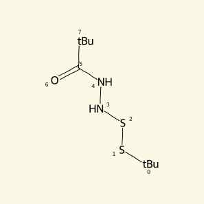 CC(C)(C)SSNNC(=O)C(C)(C)C